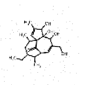 CCC1C[C@@H](C)C23C=C(C)C(O)C2(O)C(O)C(CO)=CC(C3=O)C1C